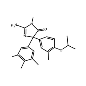 Cc1cc(C2(c3cc(C)c(C)c(C)c3)N=C(N)N(C)C2=O)ccc1OC(C)C